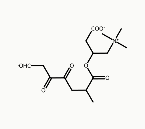 CC(CC(=O)C(=O)C[C]=O)C(=O)OC(CC(=O)[O-])C[N+](C)(C)C